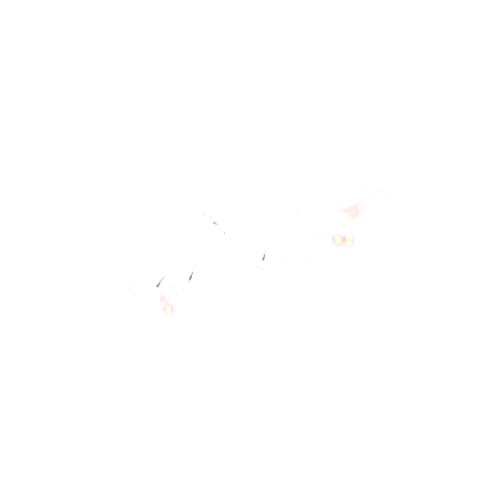 COC[C@@]1(O)CC[C@H]2[C@@H](CC[C@@H]3[C@@H]2CC[C@]2(C)[C@@H](C(C)=O)CC[C@@H]32)C1